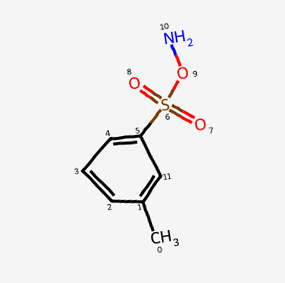 Cc1cccc(S(=O)(=O)ON)c1